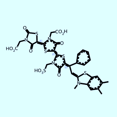 Cc1cc2c(cc1C)N(C)C(=C/C(c1ccccc1)=c1/s/c(=c3/s/c(=C4/SC(=O)N(CC(=O)O)C4=O)n(CC(=O)O)c3=O)n(CS(=O)(=O)O)c1=O)S2